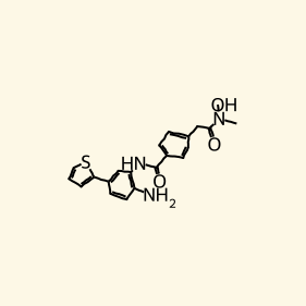 CN(O)C(=O)Cc1ccc(C(=O)Nc2cc(-c3cccs3)ccc2N)cc1